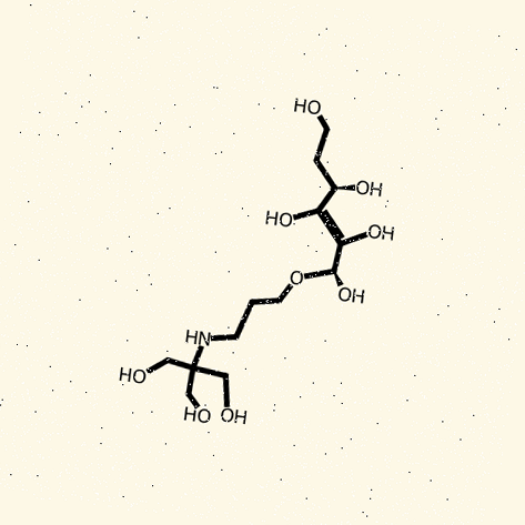 OCC[C@@H](O)/C(O)=C(\O)[C@@H](O)OCCCNC(CO)(CO)CO